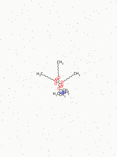 CCCCCCCCCCOC(=O)CC(C(=O)OCCCCCCCCCC)C(CC(=O)OC1CC(C)(C)NC(C)(C)C1)C(=O)OCCCCCCCCCC